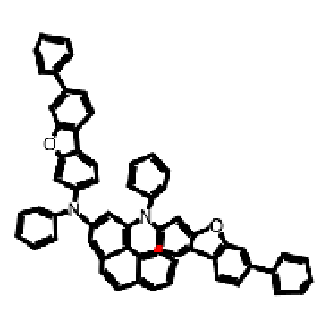 c1ccc(-c2ccc3c(c2)oc2cc(N(c4ccccc4)c4cc(N(c5ccccc5)c5ccc6c(c5)oc5cc(-c7ccccc7)ccc56)c5c(ccc6ccccc65)c4)ccc23)cc1